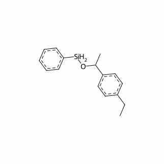 CCc1ccc(C(C)O[SiH2]c2ccccc2)cc1